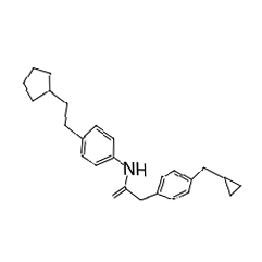 C=C(Cc1ccc(CC2CC2)cc1)Nc1ccc(CCC2CCCC2)cc1